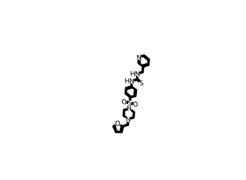 O=S(=O)(c1ccc(NC(=S)NCc2cccnc2)cc1)N1CCN(Cc2ccco2)CC1